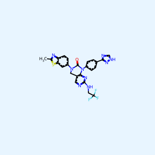 Cc1nc2ccc(N3Cc4cnc(NCC(F)(F)F)nc4N(c4ccc(-c5nc[nH]n5)cc4)C3=O)cc2s1